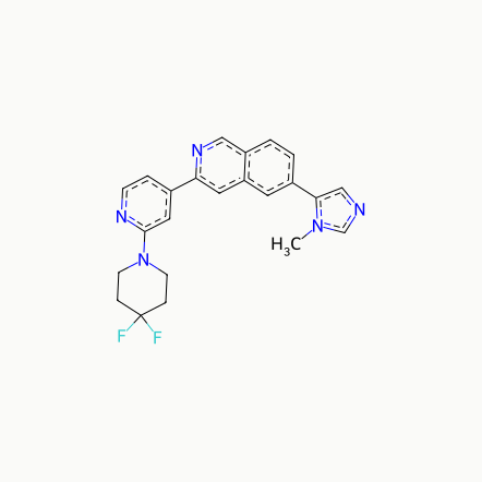 Cn1cncc1-c1ccc2cnc(-c3ccnc(N4CCC(F)(F)CC4)c3)cc2c1